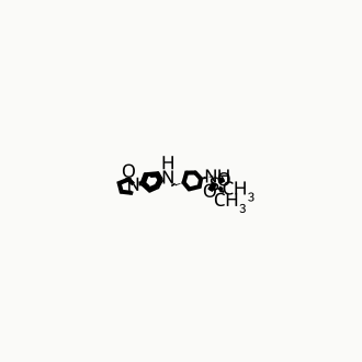 CC(C)S(=O)(=O)N[C@H]1CC[C@H](CNc2ccc(N3CCCC3=O)cc2)CC1